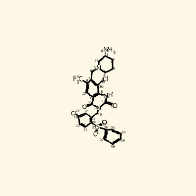 N[C@@H]1CCCN(Cc2c(C(F)(F)F)cc3c(=O)n(Cc4cc(Cl)ccc4S(=O)(=O)c4ccccc4)c(=O)[nH]c3c2Cl)C1